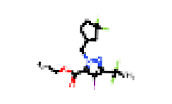 CCOC(=O)c1c(I)c(C(C)(F)F)nn1CC1CCC(F)(F)C1